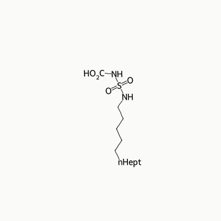 CCCCCCCCCCCCNS(=O)(=O)NC(=O)O